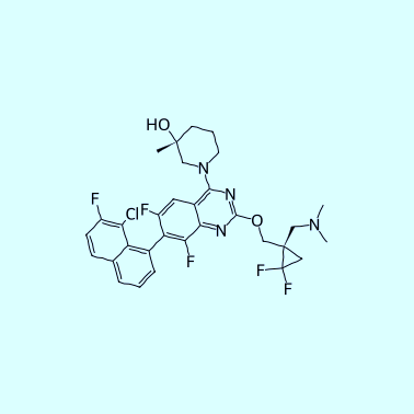 CN(C)C[C@@]1(COc2nc(N3CCC[C@@](C)(O)C3)c3cc(F)c(-c4cccc5ccc(F)c(Cl)c45)c(F)c3n2)CC1(F)F